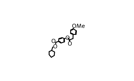 COc1ccc(CC(=O)Oc2ccc(C(=O)OCC3CCCCC3)cc2)cc1